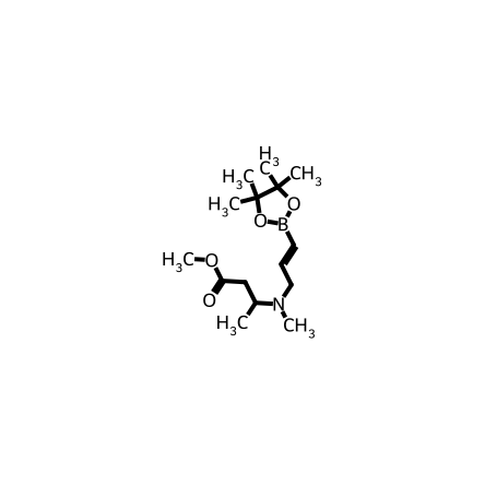 COC(=O)CC(C)N(C)C/C=C/B1OC(C)(C)C(C)(C)O1